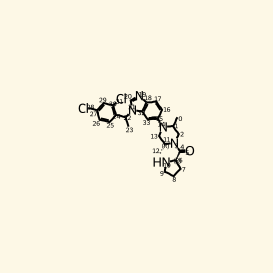 CC1CN(C(=O)[C@H]2CCCN2)[C@H](C)CN1c1ccc2ncn(C(C)c3ccc(Cl)cc3Cl)c2c1